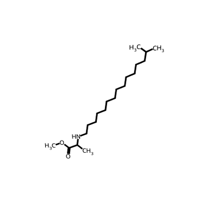 COC(=O)C(C)NCCCCCCCCCCCCCC(C)C